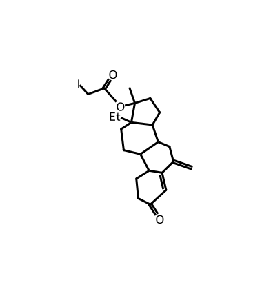 C=C1CC2C(CCC3(CC)C2CCC3(C)OC(=O)CI)C2CCC(=O)C=C12